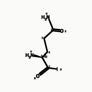 NC(=O)CC[C@H](N)C(=O)I